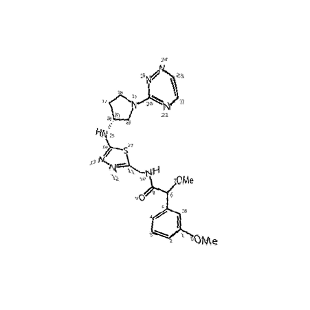 COc1cccc(C(OC)C(=O)Nc2nnc(N[C@@H]3CCN(c4nccnn4)C3)s2)c1